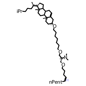 CCCCC/C=C\CCCOC[C@@H](COCCCCCCCO[C@H]1CC[C@@]2(C)C(=CCC3C2CC[C@@]2(C)C3CC[C@@H]2[C@H](C)CCCC(C)C)C1)N(C)C